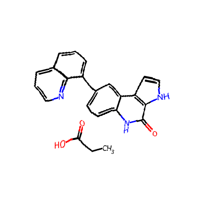 CCC(=O)O.O=c1[nH]c2ccc(-c3cccc4cccnc34)cc2c2cc[nH]c12